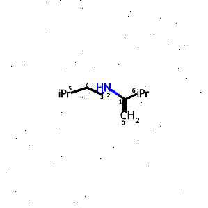 C=C(NCCC(C)C)C(C)C